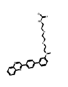 CCC(=O)NCCOCCOCCN(C)c1cccc(-c2ccc(-c3cnc4ccccc4n3)cc2)c1